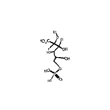 CCOC(F)(C(=O)O)C(O)(CC)C(O)C(O)COP(=O)(O)O